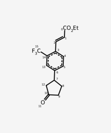 CCOC(=O)C=Cc1ccc(C2CCC(=O)C2)cc1C(F)(F)F